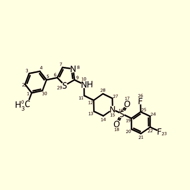 Cc1[c]ccc(-c2cnc(NCC3CCN(S(=O)(=O)c4ccc(F)cc4F)CC3)s2)c1